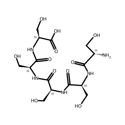 N[C@@H](CO)C(=O)N[C@@H](CO)C(=O)N[C@@H](CO)C(=O)N[C@@H](CO)C(=O)N[C@@H](CO)C(=O)O